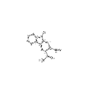 CCn1c2ccccc2c2cc(C(N)=O)c(NC(C)=O)nc21